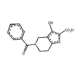 CCOC(=O)c1sc2c(c1O)CN(C(=O)c1ccccc1)CC2